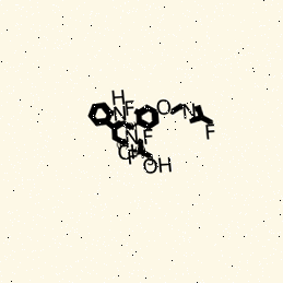 C[C@@H]1Cc2c([nH]c3ccccc23)[C@@H](c2c(F)cc(OCCN3CC(CF)C3)cc2F)N1C[C@H](F)CO